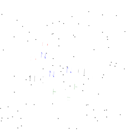 CN1C=C([N+](=O)[O-])N(C)C1C(F)(F)F